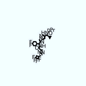 CCCC(=O)N[C@@H](c1cnn2cc([C@@H](NC(=O)c3cnn(CC4CC(F)(F)C4(F)F)n3)C3CCC(F)(F)CC3)nc2c1)C1CC1